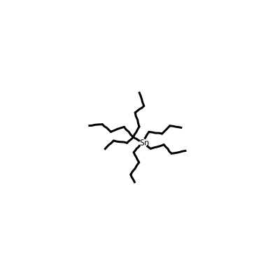 CCCC[C](CCC)(CCCC)[Sn]([CH2]CCC)([CH2]CCC)[CH2]CCC